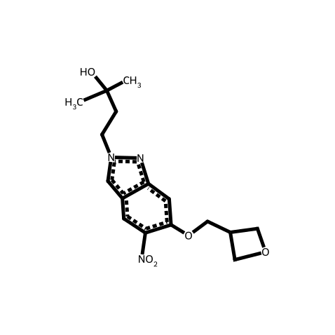 CC(C)(O)CCn1cc2cc([N+](=O)[O-])c(OCC3COC3)cc2n1